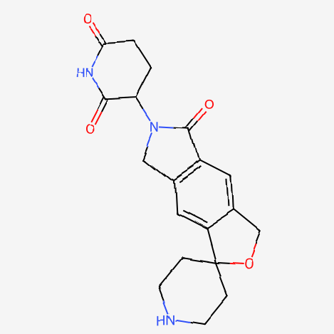 O=C1CCC(N2Cc3cc4c(cc3C2=O)COC42CCNCC2)C(=O)N1